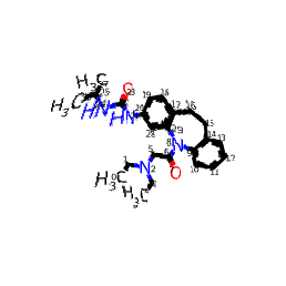 CCN(CC)CC(=O)N1c2ccccc2CCc2ccc(NC(=O)NC(C)C)cc21